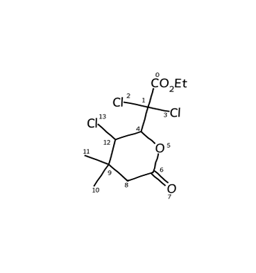 CCOC(=O)C(Cl)(Cl)C1OC(=O)CC(C)(C)C1Cl